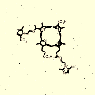 CC1=C(CCC(=O)O)c2cc3[nH]c(cc4nc(cc5[nH]c(cc1n2)c(C(C)OCCn1c([N+](=O)[O-])cnc1C)c5C)C(S(=O)(=O)O)=C4C)c(C)c3CCC(=O)OCCn1c([N+](=O)[O-])cnc1C